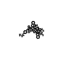 Cc1ccc(CNC(=O)N[C@@H](Cc2ccccc2)[C@H](O)C(=O)N2CSC(C)(C)[C@H]2C(=O)NCc2ccccc2C)cc1